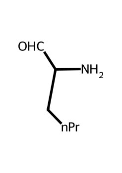 [CH2]CCCC(N)C=O